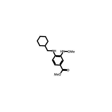 CONc1cc(C(=O)OC)ccc1NCC1CCCCC1